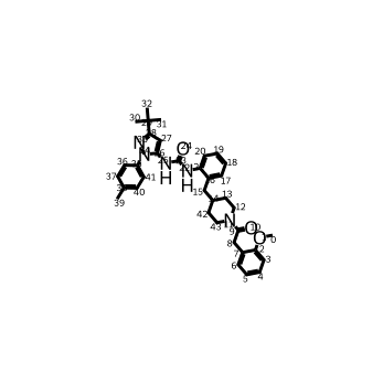 COc1ccccc1CC(=O)N1CCC(Cc2ccccc2NC(=O)Nc2cc(C(C)(C)C)nn2-c2ccc(C)cc2)CC1